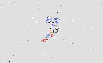 Cc1ccc(S(=O)(=O)NCC(C)(C)O)cc1-c1cnc(N)c(-c2cnn(CC(F)(F)F)n2)n1